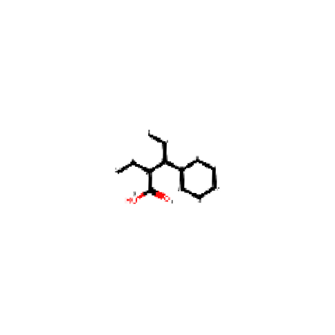 CCC(C(=O)O)C(CC)C1CCCCC1